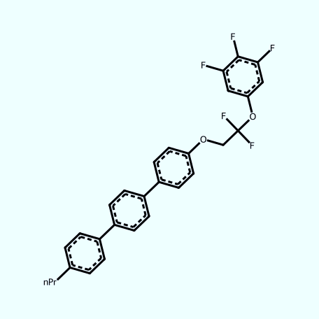 CCCc1ccc(-c2ccc(-c3ccc(OCC(F)(F)Oc4cc(F)c(F)c(F)c4)cc3)cc2)cc1